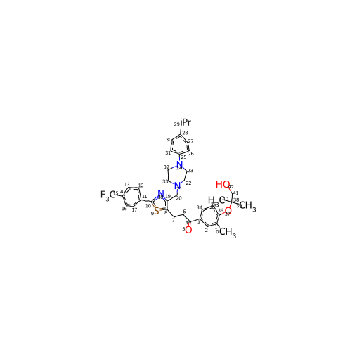 Cc1cc(C(=O)CCc2sc(-c3ccc(C(F)(F)F)cc3)nc2CN2CCN(c3ccc(C(C)C)cc3)CC2)ccc1OC(C)(C)CO